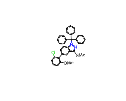 CNc1nn(C(c2ccccc2)(c2ccccc2)c2ccccc2)c2ccc(-c3c(Cl)cccc3OC)cc12